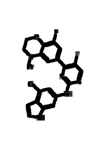 CC(C)N1CCOc2c(F)cc(-c3nc(Nc4cc(Cl)c5cc[nH]c5c4)ncc3F)cc21